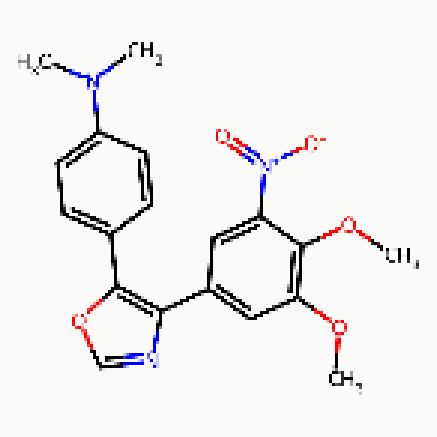 COc1cc(-c2ncoc2-c2ccc(N(C)C)cc2)cc([N+](=O)[O-])c1OC